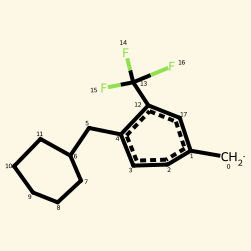 [CH2]c1ccc(CC2CCCCC2)c(C(F)(F)F)c1